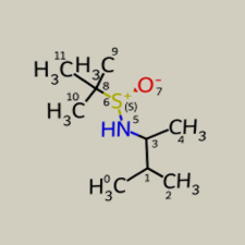 CC(C)C(C)N[S@+]([O-])C(C)(C)C